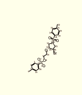 Cc1ccc(S(=O)(=O)OCCO[C@@H]2CN(S(=O)(=O)c3ccc(C)cc3)C[C@H]2Br)cc1